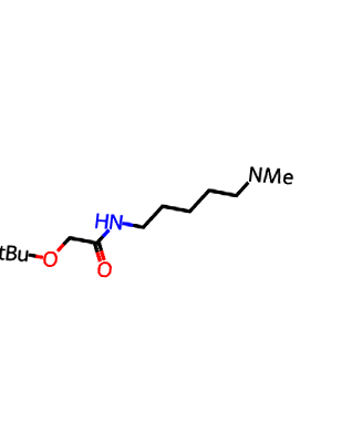 CNCCCCCNC(=O)COC(C)(C)C